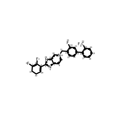 FC1=C(F)C(c2nc3ccn(Cc4ccc(-c5ccccc5C(F)(F)F)cc4F)cc-3n2)=CCC1